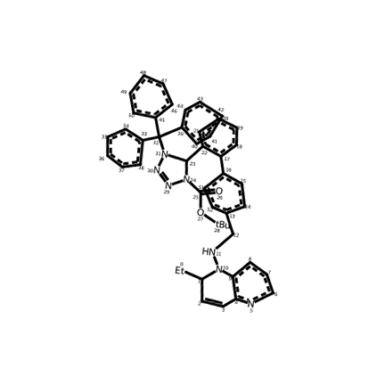 CCC1C=Cc2ncccc2N1NCc1ccc(-c2ccccc2C2N(C(=O)OC(C)(C)C)N=NN2C(c2ccccc2)(c2ccccc2)c2ccccc2)cc1